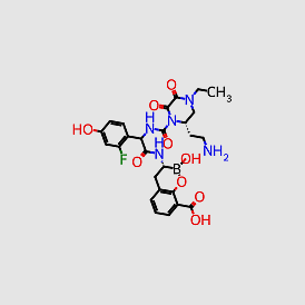 CCN1C[C@H](CCN)N(C(=O)NC(C(=O)N[C@H]2Cc3cccc(C(=O)O)c3OB2O)c2ccc(O)cc2F)C(=O)C1=O